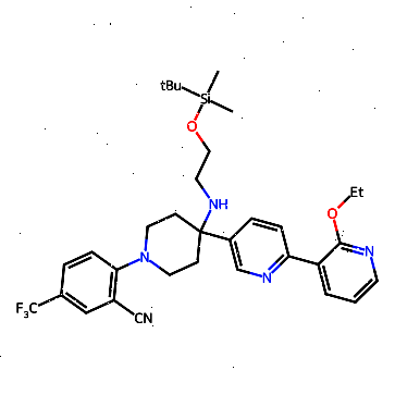 CCOc1ncccc1-c1ccc(C2(NCCO[Si](C)(C)C(C)(C)C)CCN(c3ccc(C(F)(F)F)cc3C#N)CC2)cn1